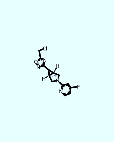 Fc1ccnc(N2C[C@@H]3C(c4noc(CCl)n4)[C@@H]3C2)c1